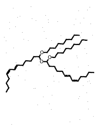 CCCC/C=C\C=C\CCCCC(OCCCCCCCCC)OC(CCCC/C=C/C=C\CCCC)OCCCCCCCCC